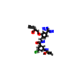 CNC(=O)COc1cc(C(=N)N)ccc1CNC(=O)C1=CC(Cl)CC(N[S+](C)[O-])=C1